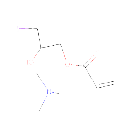 C=CC(=O)OCC(O)CI.CN(C)C